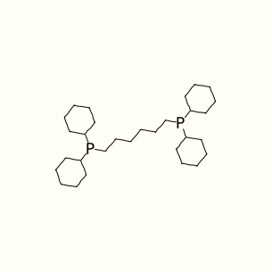 C1CCC(P(CCCCCCP(C2CCCCC2)C2CCCCC2)C2CCCCC2)CC1